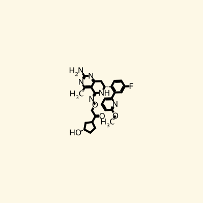 COc1cccc(-c2cc(F)ccc2[C@H]2Cc3nc(N)nc(C)c3/C(=N/OCC(=O)C3CC[C@H](O)C3)N2)n1